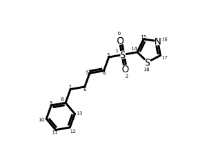 O=S(=O)(CC=CCCc1ccccc1)c1cncs1